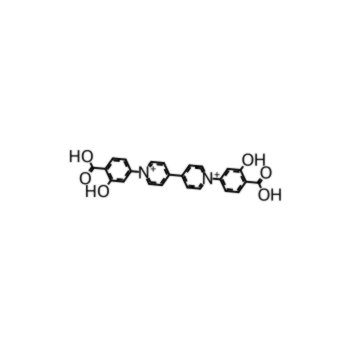 O=C(O)c1ccc(-[n+]2ccc(-c3cc[n+](-c4ccc(C(=O)O)c(O)c4)cc3)cc2)cc1O